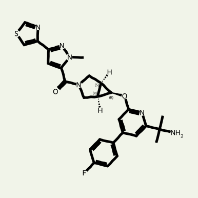 Cn1nc(-c2cscn2)cc1C(=O)N1C[C@@H]2[C@H](C1)[C@@H]2Oc1cc(-c2ccc(F)cc2)cc(C(C)(C)N)n1